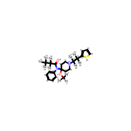 [2H]C([2H])([2H])OC1(N(C(=O)C([2H])([2H])C([2H])([2H])[2H])c2ccccc2)CCN(C([2H])([2H])C([2H])([2H])c2cccs2)CC1